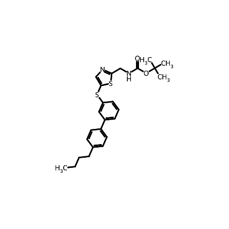 CCCCc1ccc(-c2cccc(Sc3cnc(CNC(=O)OC(C)(C)C)s3)c2)cc1